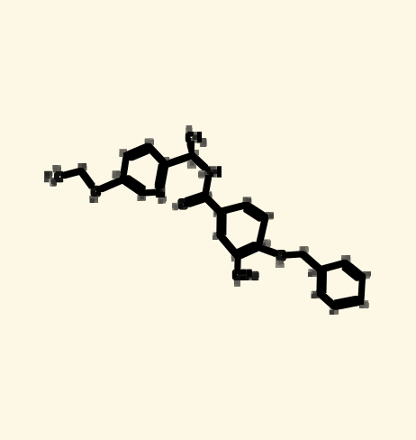 COc1cc(C(=O)N[C@H](C)c2ccc(OCC(F)(F)F)cn2)ccc1OCc1ccccc1